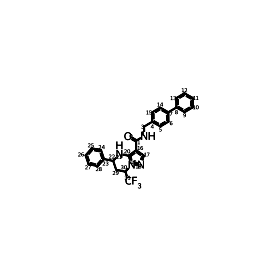 O=C(NCc1ccc(-c2ccccc2)cc1)c1cnn2c1NC(c1ccccc1)CC2C(F)(F)F